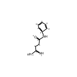 CCCC(=N)CCC(=O)Nc1cc[c]cc1